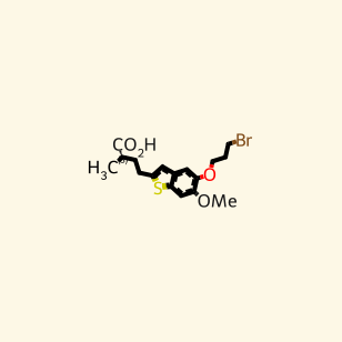 COc1cc2sc(CC[C@H](C)C(=O)O)cc2cc1OCCCBr